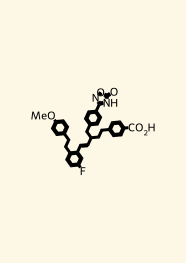 COc1ccc(CCc2ccc(F)cc2/C=C/C(CCc2ccc(C(=O)O)cc2)Cc2ccc(-c3noc(=O)[nH]3)cc2)cc1